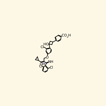 N=C(/C(COc1ccc(C2(O)CC(c3ccc(C(=O)O)cc3)C2)c(Cl)c1)=C(\O)C1CC1)c1c(Cl)cccc1Cl